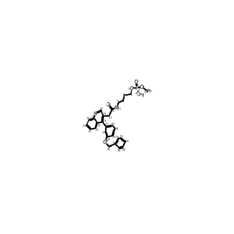 CC(C)OP(=O)(O)OCCCCNC(=O)Cc1cnc2ccccc2c1-c1cccc(OCc2ccccc2)c1